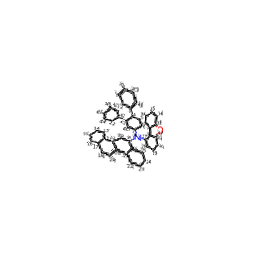 c1ccc(-c2ccc(N(c3cc4c5ccccc5ccc4c4ccccc34)c3cccc4oc5ccccc5c34)cc2-c2ccccc2)cc1